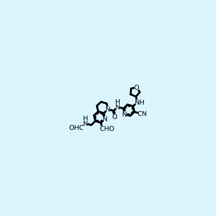 N#Cc1cnc(NC(=O)N2CCCc3cc(CNC=O)c(C=O)nc32)cc1NC1CCOC1